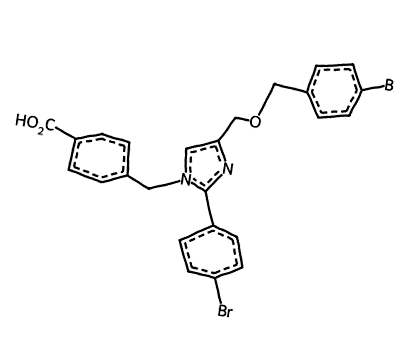 O=C(O)c1ccc(Cn2cc(COCc3ccc(Br)cc3)nc2-c2ccc(Br)cc2)cc1